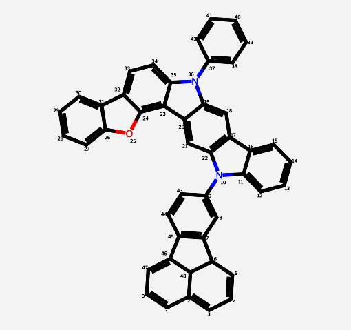 C1=CC2=CC=CC3c4cc(-n5c6ccccc6c6cc7c(cc65)c5c6oc8ccccc8c6ccc5n7-c5ccccc5)ccc4C(=C1)C23